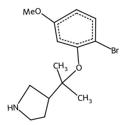 COc1ccc(Br)c(OC(C)(C)C2CCNC2)c1